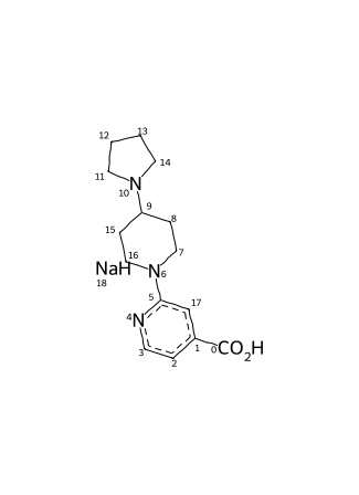 O=C(O)c1ccnc(N2CCC(N3CCCC3)CC2)c1.[NaH]